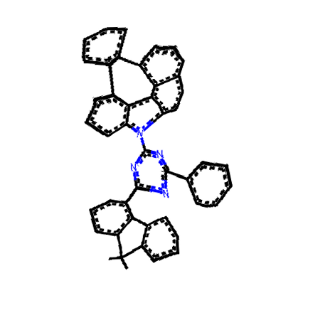 CC1(C)c2ccccc2-c2c(-c3nc(-c4ccccc4)nc(-n4c5cccc6c5c5c7c(cccc7ccc54)-c4ccccc4-6)n3)cccc21